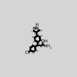 NC(O)CC(c1ccc(Cl)cc1)c1ccc(-c2cn[nH]c2)cc1